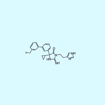 N=C1NC(c2cccc(-c3cccc(CI)c3)c2)(C2CC2)C(=O)N1CCc1c[nH]cn1